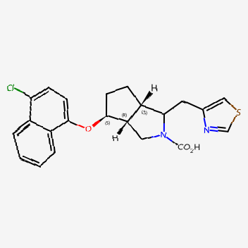 O=C(O)N1C[C@@H]2[C@@H](Oc3ccc(Cl)c4ccccc34)CC[C@@H]2C1Cc1cscn1